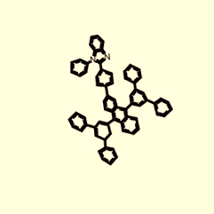 C1=C(c2ccccc2)C=C(c2c3ccccc3c(-c3cc(-c4ccccc4)cc(-c4ccccc4)c3)c3cc(-c4ccc(-c5nc6ccccc6n5-c5ccccc5)cc4)ccc23)CC1c1ccccc1